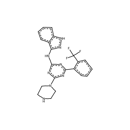 FC(F)(F)c1ccccc1-c1nc(Nc2n[nH]c3ccccc23)nc(N2CCNCC2)n1